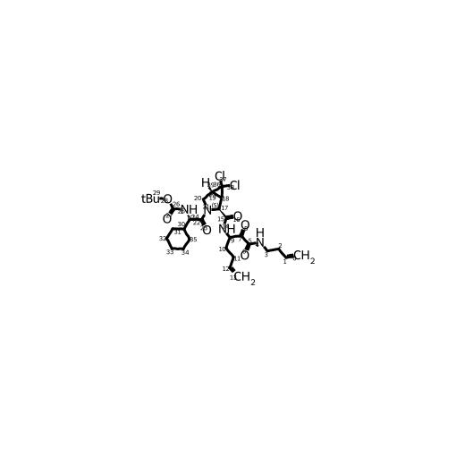 C=CCCNC(=O)C(=O)C(CCC=C)NC(=O)[C@@H]1C2[C@H](CN1C(=O)[C@@H](NC(=O)OC(C)(C)C)C1CCCCC1)C2(Cl)Cl